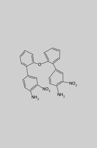 Nc1ccc(-c2ccccc2Oc2ccccc2-c2ccc(N)c([N+](=O)[O-])c2)cc1[N+](=O)[O-]